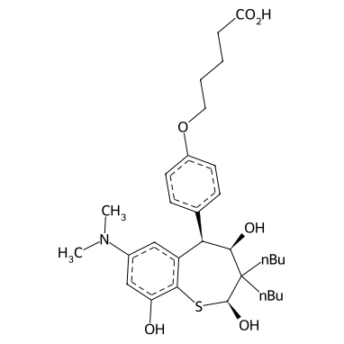 CCCCC1(CCCC)[C@H](O)[C@H](c2ccc(OCCCCC(=O)O)cc2)c2cc(N(C)C)cc(O)c2S[C@@H]1O